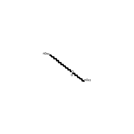 CCCCCCCC/C=C\CCCCCCCC(=O)OCCCCCCCCCCCCCCCCCCCCCCCCCCCCC